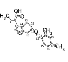 CCC(C(=O)O)c1csc2cc(OCc3ccc(C)cc3C)ccc12